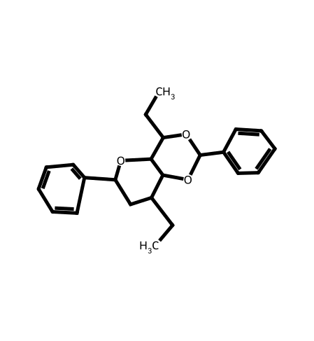 CCC1CC(c2ccccc2)OC2C(CC)OC(c3ccccc3)OC12